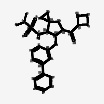 CN(C)S(=O)(=O)N[C@@H]1[C@H](Cc2cccc(-c3ccccc3)c2)N(C(=O)C2CCO2)CC12CC2